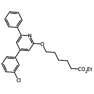 CCOC(=O)CCCCCOc1cc(-c2cccc(Cl)c2)cc(-c2ccccc2)n1